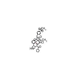 CCN1C(=O)N(Cc2ccc(S(C)(=O)=O)cc2)C(=O)C12CCN(C(C(=O)C1CCCC1)C1CNCC1c1ccccc1)CC2.Cl